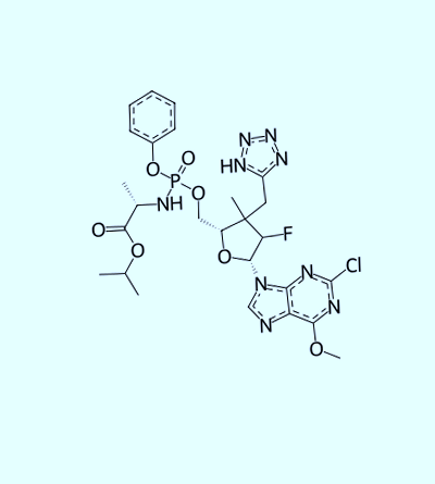 COc1nc(Cl)nc2c1ncn2[C@@H]1O[C@H](COP(=O)(N[C@@H](C)C(=O)OC(C)C)Oc2ccccc2)C(C)(Cc2nnn[nH]2)C1F